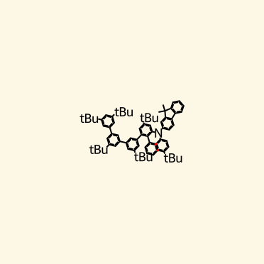 CC(C)(C)c1ccc(N(c2ccc3c(c2)C(C)(C)c2ccccc2-3)c2cc(C(C)(C)C)cc(-c3cc(-c4cc(-c5cc(C(C)(C)C)cc(C(C)(C)C)c5)cc(C(C)(C)C)c4)cc(C(C)(C)C)c3)c2-c2ccccc2)cc1